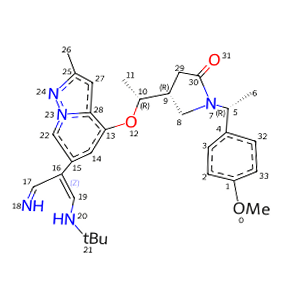 COc1ccc([C@@H](C)N2C[C@H]([C@@H](C)Oc3cc(/C(C=N)=C/NC(C)(C)C)cn4nc(C)cc34)CC2=O)cc1